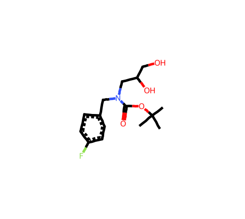 CC(C)(C)OC(=O)N(Cc1ccc(F)cc1)CC(O)CO